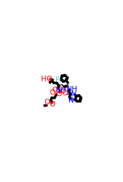 CCOC(=O)CCC(=O)OCO[C@@H](C[C@@H](CCC(C)(C)O)C(N)=O)[C@H](Cc1cccc(F)c1)NC(=O)c1cnc2ccccc2n1